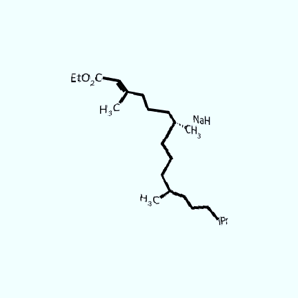 CCOC(=O)/C=C(\C)CCC[C@H](C)CCC[C@H](C)CCCC(C)C.[NaH]